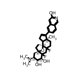 CN(C)[C@H]1C[C@@]23CC[C@]4(O2)C2CC=C(c5ccc6cnc(O)cc6c5)[C@@]2(C)CCC4(F)CC3(F)[C@@H](O)[C@@H]1O